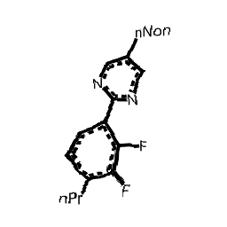 CCCCCCCCCc1cnc(-c2ccc(CCC)c(F)c2F)nc1